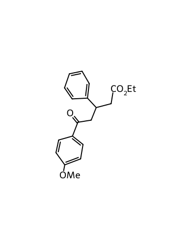 CCOC(=O)CC(CC(=O)c1ccc(OC)cc1)c1ccccc1